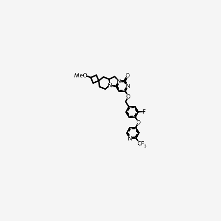 COC1CC2(CCN3c4cc(OCc5ccc(Oc6ccnc(C(F)(F)F)c6)c(F)c5)nc(=O)n4CC3C2)C1